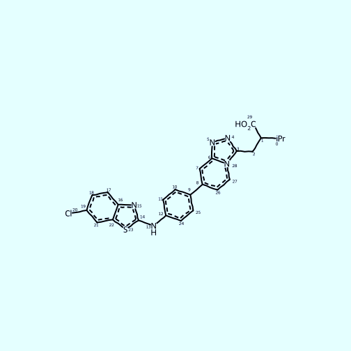 CC(C)C(Cc1nnc2cc(-c3ccc(Nc4nc5ccc(Cl)cc5s4)cc3)ccn12)C(=O)O